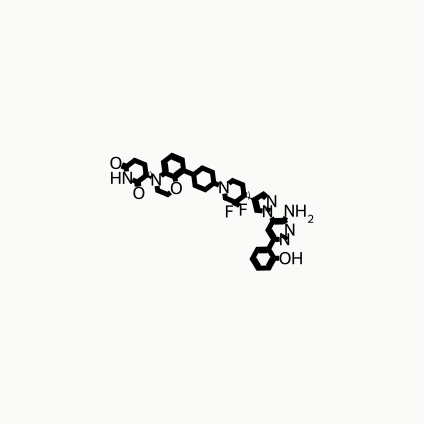 Nc1nnc(-c2ccccc2O)cc1-n1cc([C@H]2CCN(C3CCC(c4cccc5c4OCCN5[C@@H]4CCC(=O)NC4=O)CC3)CC2(F)F)cn1